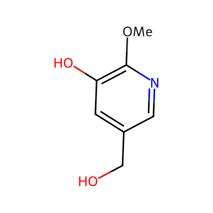 COc1ncc(CO)cc1O